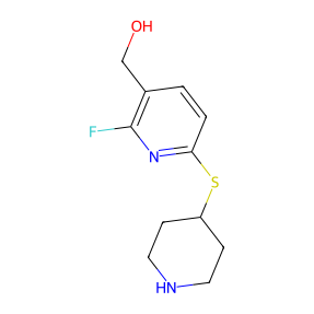 OCc1ccc(SC2CCNCC2)nc1F